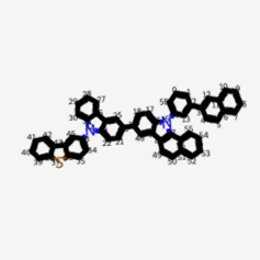 c1cc(-c2ccc3ccccc3c2)cc(-n2c3ccc(-c4ccc5c(c4)c4ccccc4n5-c4ccc5sc6ccccc6c5c4)cc3c3ccc4ccccc4c32)c1